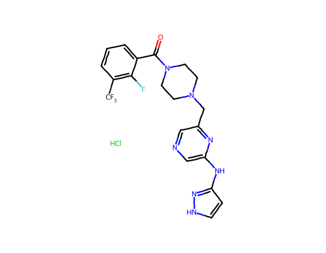 Cl.O=C(c1cccc(C(F)(F)F)c1F)N1CCN(Cc2cncc(Nc3cc[nH]n3)n2)CC1